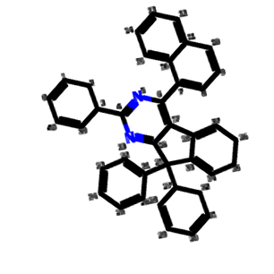 C1=CCC(c2nc(-c3cccc4ccccc34)c3c(n2)C(c2ccccc2)(C2C=CC=CC2)C2=CCCC=C23)C=C1